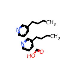 CCCCc1cccnc1.CCCCc1cccnc1.O=CO